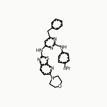 CCCc1ccc(Nc2nc(Cc3ccccc3)cc(Nc3nc4ccc(N5CCOCC5)nc4s3)n2)cc1